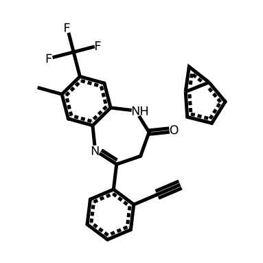 C#Cc1ccccc1C1=Nc2cc(C)c(C(F)(F)F)cc2NC(=O)C1.c1cc2cc-2c1